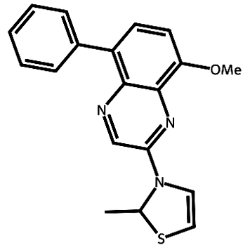 COc1ccc(-c2ccccc2)c2ncc(N3C=CSC3C)nc12